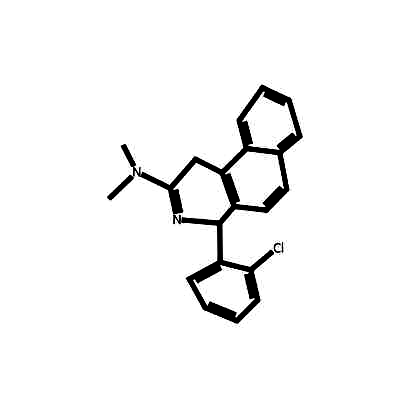 CN(C)C1=NC(c2ccccc2Cl)c2ccc3ccccc3c2C1